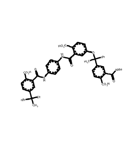 CCCC(C)(CC)c1ccc(C(=O)O)c(C(=O)Nc2ccc(NC(=O)c3cc(OC(C)(CCC)c4ccc(C(=O)O)c(C(=O)NC)c4)ccc3C(=O)O)cc2)c1